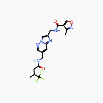 Cc1nocc1C(=O)NCc1cn2ncc(CNC(=O)CC(C)C(F)(F)F)cc2n1